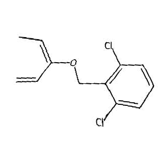 C=C/C(=C\C)OCc1c(Cl)cccc1Cl